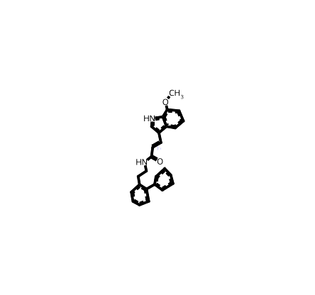 COc1cccc2c(/C=C/C(=O)NCCc3ccccc3-c3ccccc3)c[nH]c12